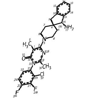 Cc1c(N2CCC3(CC2)Cc2ccccc2[C@H]3N)nc(C)n(-c2ccc(F)c(F)c2Cl)c1=O